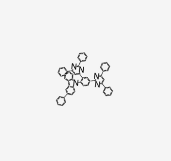 c1ccc(-c2ccc3c(c2)c2ccccc2n3-c2ccc(-c3nc(-c4ccccc4)cc(-c4ccccc4)n3)cc2-c2cc(-c3ccccc3)nc(-c3ccccc3)n2)cc1